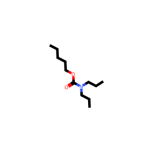 CCCCCOC(=O)N(CCC)CCC